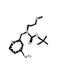 COCCN(Cc1cc(N)ccn1)C(=O)OC(C)(C)C